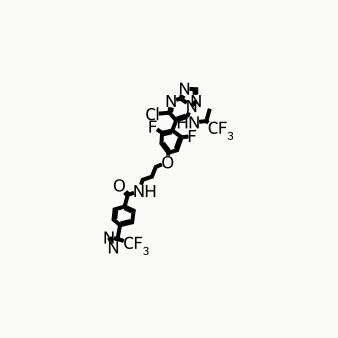 CC(Nc1c(-c2c(F)cc(OCCCNC(=O)c3ccc(C4(C(F)(F)F)N=N4)cc3)cc2F)c(Cl)nc2ncnn12)C(F)(F)F